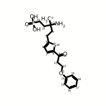 CC(N)(CCc1ccc(C(=O)CCOc2ccccc2)s1)CCP(=O)(O)O